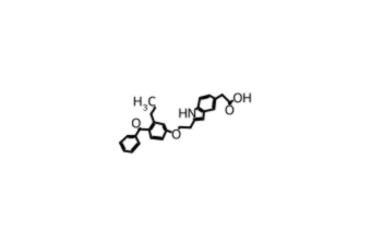 CCCc1cc(OCCc2cc3cc(CC(=O)O)ccc3[nH]2)ccc1C(=O)c1ccccc1